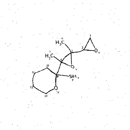 CC1(C2CO2)OC1(C)C1([SiH3])CCCCO1